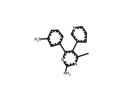 Cc1nc(N)nc(-c2cccc(N)c2)c1-c1cccnc1